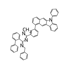 C=N/C(=N\C(=N/Cc1ccccc1)c1ccccc1-c1ccccc1)c1cccc(-c2cccc3cc4c(cc23)c2ccccc2n4-c2ccccc2)c1